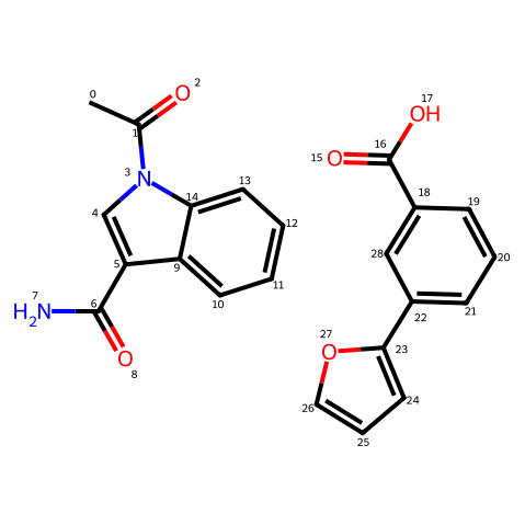 CC(=O)n1cc(C(N)=O)c2ccccc21.O=C(O)c1cccc(-c2ccco2)c1